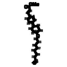 COC(=O)/C=C/c1ccc(C2CCC(OCCCCCCC[Si][O])CC2)cc1